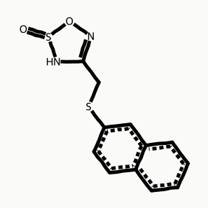 O=S1NC(CSc2ccc3ccccc3c2)=NO1